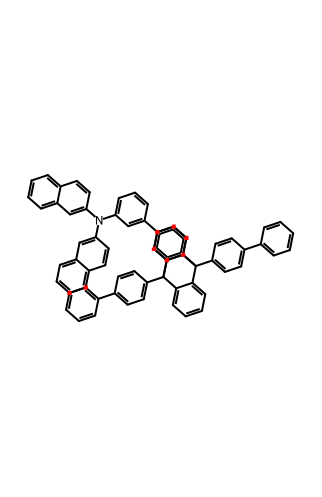 c1ccc(-c2ccc(C34c5ccccc5C(c5ccc(-c6ccccc6)cc5)(c5ccccc53)c3cc(-c5cccc(N(c6ccc7ccccc7c6)c6ccc7ccccc7c6)c5)ccc34)cc2)cc1